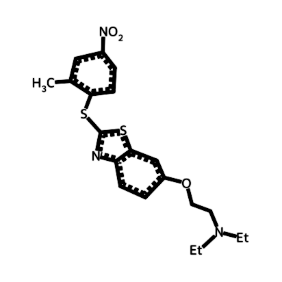 CCN(CC)CCOc1ccc2nc(Sc3ccc([N+](=O)[O-])cc3C)sc2c1